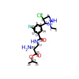 CCN1NCC(Cl)C1c1cc(F)cc(C(=O)NC[C@@H](N)C(=O)OC(C)C)c1